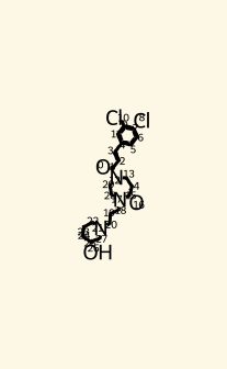 O=C(C=Cc1ccc(Cl)c(Cl)c1)N1CCC(=O)N(CCCN2CCCC(O)C2)CC1